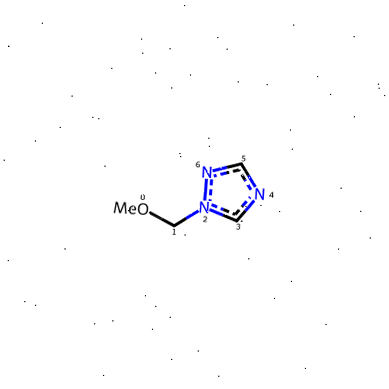 COCn1[c]ncn1